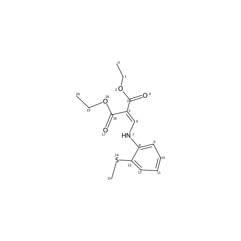 CCOC(=O)C(=CNc1ccccc1SC)C(=O)OCC